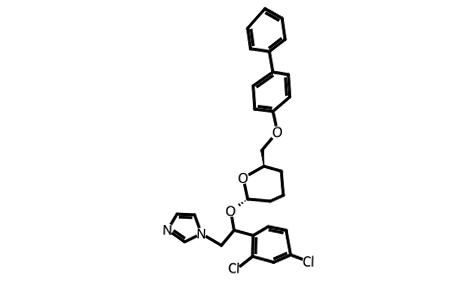 Clc1ccc(C(Cn2ccnc2)O[C@H]2CCC[C@H](COc3ccc(-c4ccccc4)cc3)O2)c(Cl)c1